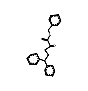 O=C(CCC(c1ccccc1)c1ccccc1)C(=O)OCc1ccccc1